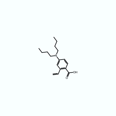 C=Cc1cc(N(CCCC)CCCC)ccc1C(=O)O